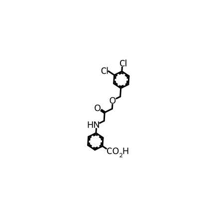 O=C(CNc1cccc(C(=O)O)c1)COCc1ccc(Cl)c(Cl)c1